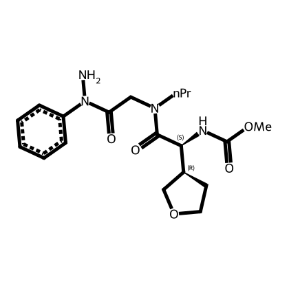 CCCN(CC(=O)N(N)c1ccccc1)C(=O)[C@@H](NC(=O)OC)[C@H]1CCOC1